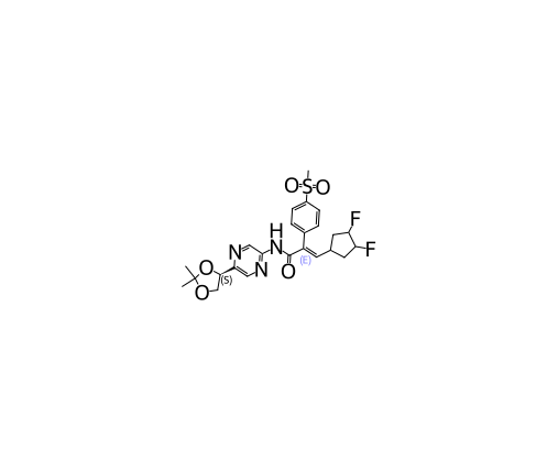 CC1(C)OC[C@H](c2cnc(NC(=O)/C(=C/C3CC(F)C(F)C3)c3ccc(S(C)(=O)=O)cc3)cn2)O1